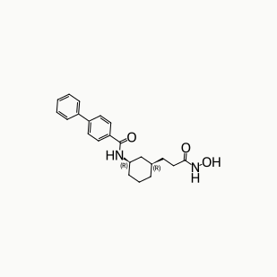 O=C(CC[C@H]1CCC[C@@H](NC(=O)c2ccc(-c3ccccc3)cc2)C1)NO